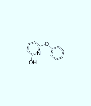 Oc1cccc(Oc2ccccc2)n1